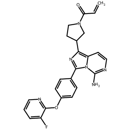 C=CC(=O)N1CCC(c2nc(-c3ccc(Oc4ncccc4F)cc3)n3c(N)nccc23)C1